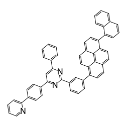 c1ccc(-c2cc(-c3ccc(-c4ccccn4)cc3)nc(-c3cccc(-c4ccc5ccc6c(-c7cccc8ccccc78)ccc7ccc4c5c76)c3)n2)cc1